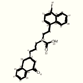 O=C1C[C@H](CCCN(CCc2ccc(F)c3ccccc23)C(=O)O)Cc2ccccc21